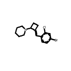 Clc1cc(Br)ccc1C=C1CCC1N1CCCCC1